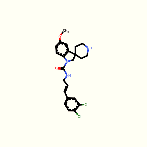 COc1ccc2c(c1)C1(CCNCC1)CN2C(=O)NCC=Cc1ccc(Cl)c(Cl)c1